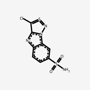 NS(=O)(=O)c1ccc2nc3n(c2c1)N=S=C3Cl